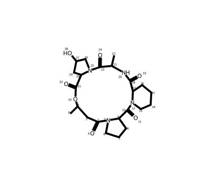 CC1CC(=O)N2CCCC2C(=O)N2CCCCC2C(=O)NC(C)C(=O)N2CC(O)CC2C(=O)O1